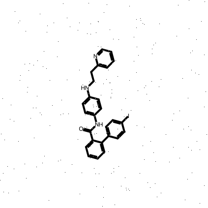 O=C(Nc1ccc(NCCc2ccccn2)cc1)c1ccccc1-c1ccc(I)cc1